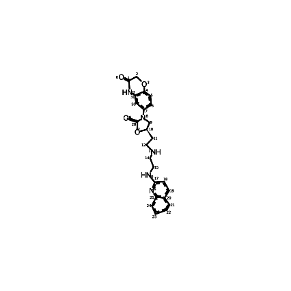 O=C1COc2ccc(N3C[C@@H](CCNCCNc4ccc5ccccc5n4)OC3=O)cc2N1